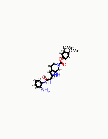 COc1ccc(OC(=O)N2CCc3cc(CC(=O)Nc4ccccc4N)[nH]c3C2)cc1OC